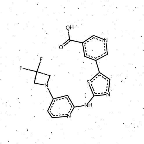 O=C(O)c1cncc(-c2cnc(Nc3cc(N4CC(F)(F)C4)ccn3)s2)c1